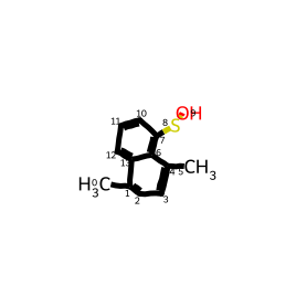 Cc1ccc(C)c2c(SO)cccc12